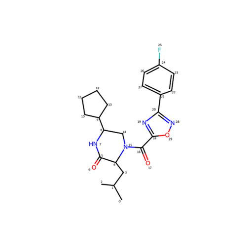 CC(C)CC1C(=O)NC(C2CCCC2)CN1C(=O)c1nc(-c2ccc(F)cc2)no1